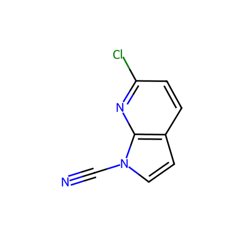 N#Cn1ccc2ccc(Cl)nc21